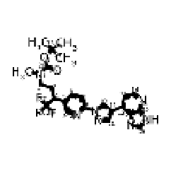 CN(CCC(c1ccc(-n2cc(-c3ccnc4[nH]cnc34)cn2)nc1)C(F)(F)F)C(=O)OC(C)(C)C